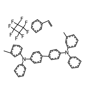 C=Cc1ccccc1.Cc1cccc(N(c2ccccc2)c2ccc(-c3ccc(N(c4ccccc4)c4cccc(C)c4)cc3)cc2)c1.FC1(F)C(F)(F)C(F)(F)C1(F)F